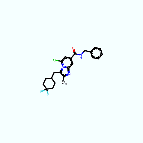 O=C(NCc1ccccc1)c1cc(Cl)n2c(CC3CCC(F)(F)CC3)c(C(F)(F)F)nc2c1